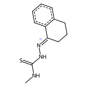 CNC(=S)N/N=C1\CCCc2ccccc21